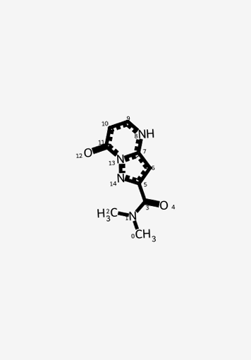 CN(C)C(=O)c1cc2[nH]ccc(=O)n2n1